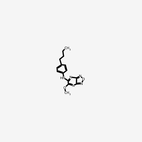 CCCCc1ccc(Nc2nc3nonc3nc2OC)cc1